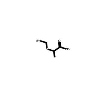 CC(C)CSC(C)C(=O)C(C)C